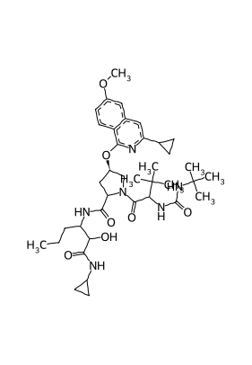 CCCC(NC(=O)C1C[C@@H](Oc2nc(C3CC3)cc3cc(OC)ccc23)CN1C(=O)C(NC(=O)NC(C)(C)C)C(C)(C)C)C(O)C(=O)NC1CC1